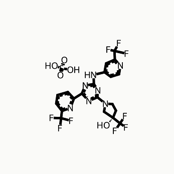 O=S(=O)(O)O.O[C@@]1(C(F)(F)F)CCN(c2nc(Nc3ccnc(C(F)(F)F)c3)nc(-c3cccc(C(F)(F)F)n3)n2)C1